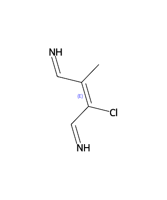 C/C(C=N)=C(\Cl)C=N